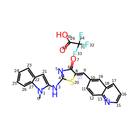 Cn1c(NC2=NC(=O)/C(=C/c3ccc4ncccc4c3)S2)cc2ccccc21.O=C(O)C(F)(F)F